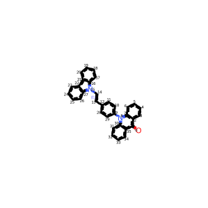 O=c1c2ccccc2n(-c2ccc(/C=C/n3c4ccccc4c4ccccc43)cc2)c2ccccc12